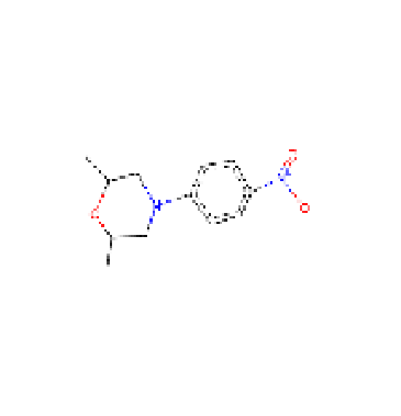 CC1CN(c2ccc([N+](=O)[O-])cc2)CC(C)O1